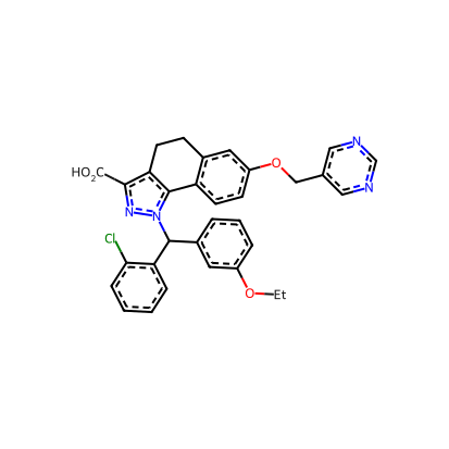 CCOc1cccc(C(c2ccccc2Cl)n2nc(C(=O)O)c3c2-c2ccc(OCc4cncnc4)cc2CC3)c1